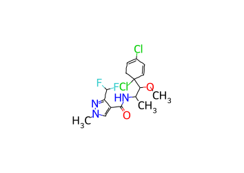 COC(C(C)NC(=O)c1cn(C)nc1C(F)F)C1(Cl)C=CC(Cl)=CC1